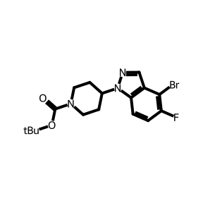 CC(C)(C)OC(=O)N1CCC(n2ncc3c(Br)c(F)ccc32)CC1